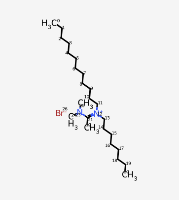 CCCCCCCCCCCC[N+](CCCCCCCC)=C(C)N(C)C.[Br-]